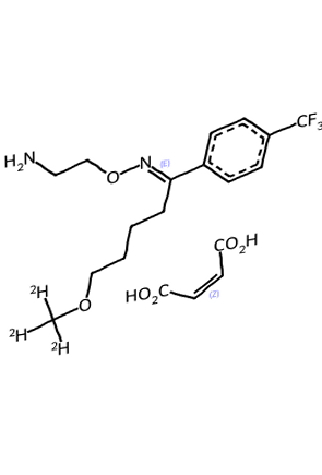 O=C(O)/C=C\C(=O)O.[2H]C([2H])([2H])OCCCC/C(=N\OCCN)c1ccc(C(F)(F)F)cc1